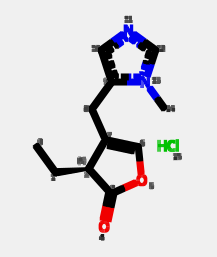 CC[C@@H]1C(=O)OC=C1Cc1cncn1C.Cl